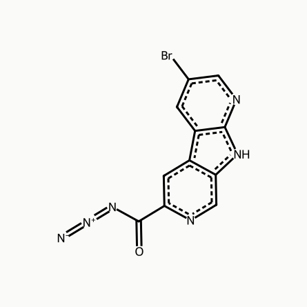 [N-]=[N+]=NC(=O)c1cc2c(cn1)[nH]c1ncc(Br)cc12